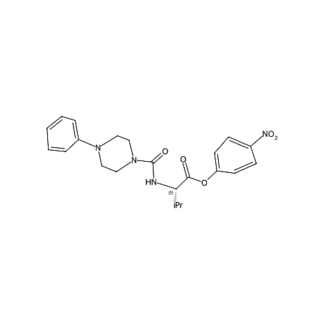 CC(C)[C@H](NC(=O)N1CCN(c2ccccc2)CC1)C(=O)Oc1ccc([N+](=O)[O-])cc1